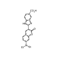 CCN(CC)c1ccc2cc(-c3nc4cc(C(=O)O)ccc4[nH]3)c(=O)oc2c1